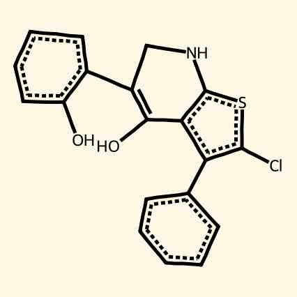 OC1=C(c2ccccc2O)CNc2sc(Cl)c(-c3ccccc3)c21